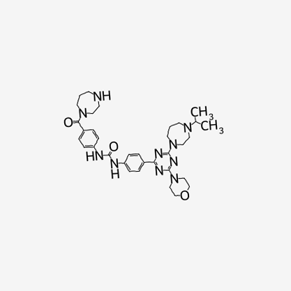 CC(C)N1CCCN(c2nc(-c3ccc(NC(=O)Nc4ccc(C(=O)N5CCCNCC5)cc4)cc3)nc(N3CCOCC3)n2)CC1